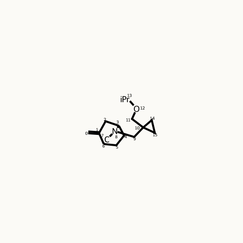 C=C1CC2CCC1CN2CC1(COC(C)C)CC1